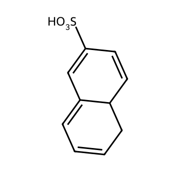 O=S(=O)(O)C1=CC2=CC=CCC2C=C1